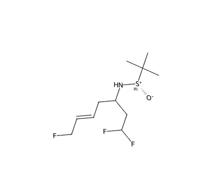 CC(C)(C)[S@+]([O-])NC(CC=CCF)CC(F)F